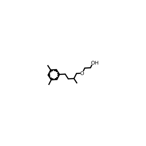 Cc1cc(C)cc(CCC(C)COCCO)c1